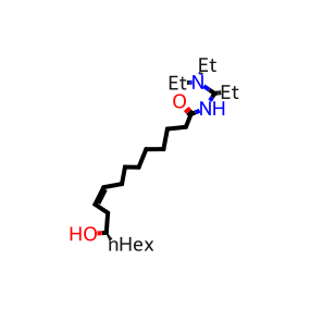 CCCCCC[C@@H](O)C/C=C\CCCCCCCC(=O)NC(CC)N(CC)CC